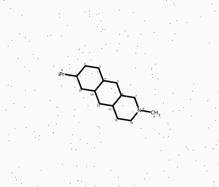 CC(C)C1CCC2CC3CN(C)CCC3CC2C1